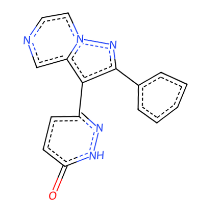 O=c1ccc(-c2c(-c3ccccc3)nn3ccncc23)n[nH]1